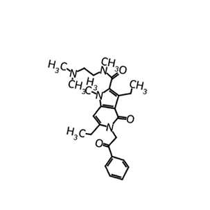 CCc1c(C(=O)N(C)CCN(C)C)n(C)c2cc(CC)n(CC(=O)c3ccccc3)c(=O)c12